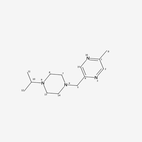 Cc1cnc(CN2CCN(C(C)C)CC2)cn1